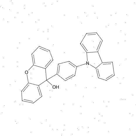 OC1(c2ccc(-n3c4ccccc4c4ccccc43)cc2)c2ccccc2Oc2ccccc21